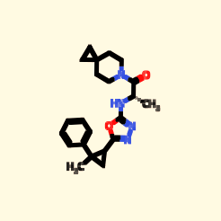 C[C@H](Nc1nnc(C2CC2(C)c2ccccc2)o1)C(=O)N1CCC2(CC1)CC2